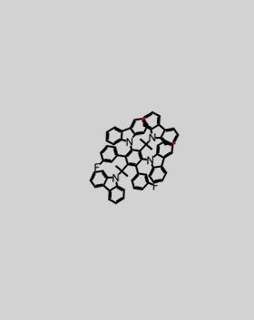 CC(C)(c1c(-c2cccc(F)c2)c(-n2c3ccccc3c3ccccc32)c(C(C)(C)n2c3ccccc3c3ccccc32)c(-n2c3ccccc3c3ccccc32)c1-c1cccc(F)c1)n1c2ccccc2c2ccccc21